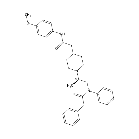 COc1ccc(NC(=O)CC2CCN([C@H](C)CN(C(=O)Cc3ccccc3)c3ccccc3)CC2)cc1